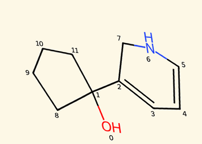 OC1(C2=CC=CNC2)CCCC1